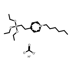 CCCCCC[n+]1ccc(CC[Si](OCC)(OCC)OCC)cc1.O=C([O-])[O-].[H+]